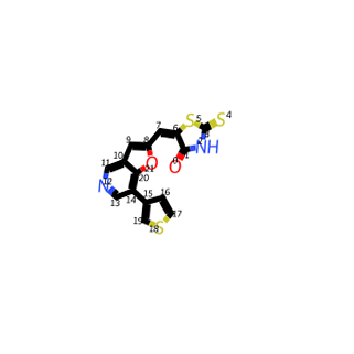 O=C1NC(=S)SC1=Cc1cc2cncc(-c3ccsc3)c2o1